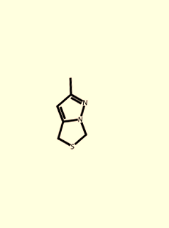 Cc1cc2n(n1)CSC2